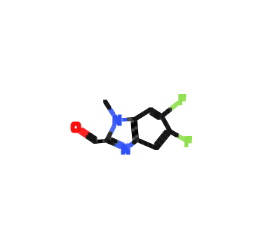 Cn1c(C=O)nc2cc(F)c(F)cc21